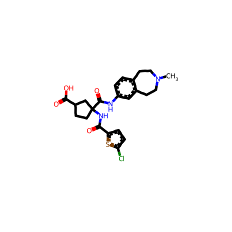 CN1CCc2ccc(NC(=O)C3(NC(=O)c4ccc(Cl)s4)CCC(C(=O)O)C3)cc2CC1